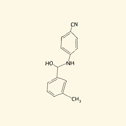 Cc1cccc(C(O)Nc2ccc(C#N)cc2)c1